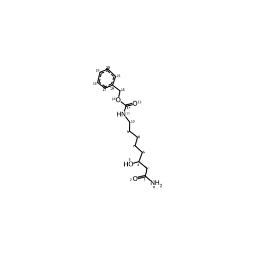 NC(=O)CC(O)CCCCCNC(=O)OCc1ccccc1